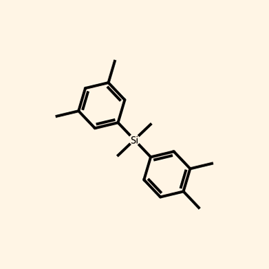 Cc1cc(C)cc([Si](C)(C)c2ccc(C)c(C)c2)c1